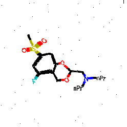 CCCN(CCC)CC1OCc2c(F)cc(S(C)(=O)=O)cc2O1